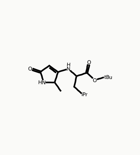 CC(C)CC(NC1=CC(=O)NC1C)C(=O)OC(C)(C)C